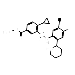 COC(=O)c1ccc(C2CC2)c(S(=O)(=O)Nc2cc(C#N)c(F)cc2C2CCCCN2)c1